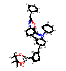 CC1(C)OB(c2cccc(-c3ccc4c(c3)c3ccc5nc(-c6ccccc6)oc5c3n4-c3ccccc3)c2)OC1(C)C